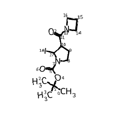 CC(C)(C)OC(=O)N1CCC(C(=O)N2CCC2)C1I